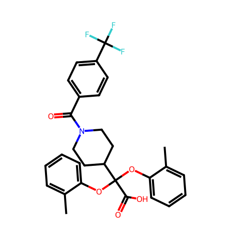 Cc1ccccc1OC(Oc1ccccc1C)(C(=O)O)C1CCN(C(=O)c2ccc(C(F)(F)F)cc2)CC1